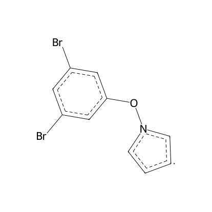 Brc1cc(Br)cc(On2c[c]cc2)c1